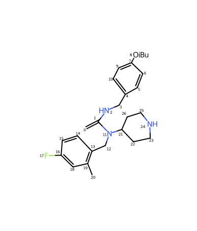 C=C(NCc1ccc(OCC(C)C)cc1)N(Cc1ccc(F)cc1C)C1CCNCC1